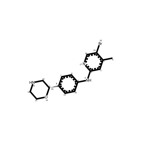 Cc1cc(Nc2ccc([C@H]3CNCCO3)cc2)ncc1Br